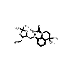 CC1(C)O[C@@H](CO)[C@H](Cn2c3cccc4c3n(c(=O)[12c]2=O)CCC4(C)C)O1